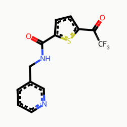 O=C(NCc1cccnc1)c1ccc(C(=O)C(F)(F)F)s1